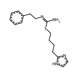 NC(=NCCc1ccccc1)SCCCCc1ncc[nH]1